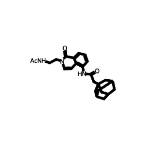 CC(=O)NCCn1ccc2c(NC(=O)CC34CC5CC(CC(C5)C3)C4)cccc2c1=O